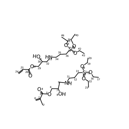 C=C(C)C(=O)OCC(O)CNCCC[Si](OCC)(OCC)OCC.C=CC(=O)OCC(O)CNCCC[Si](OCC)(OCC)OCC